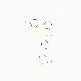 Cc1cc2nc(-c3ccc(-c4cnc(=O)[nH]c4)cc3)sc2c(-c2ccc(Cl)cc2OC(C)(C)C)c1CC(=O)O